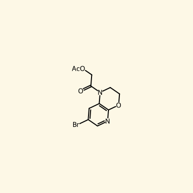 CC(=O)OCC(=O)N1CCOc2ncc(Br)cc21